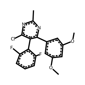 COc1cc(OC)cc(-c2nc(C)nc(Cl)c2-c2c(F)cccc2F)c1